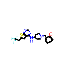 Oc1ccccc1CN1CCC(Nc2ncnc3sc(CC(F)(F)F)cc23)CC1